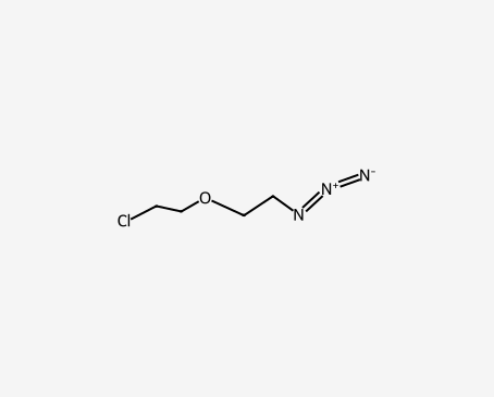 [N-]=[N+]=NCCOCCCl